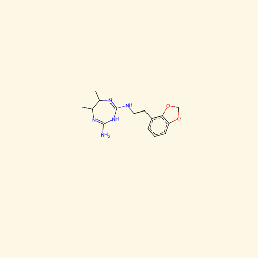 CC1N=C(N)NC(NCCc2cccc3c2OCO3)=NC1C